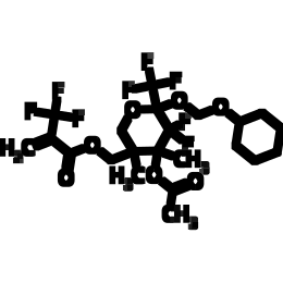 C=C(C(=O)OCC1(C)COC(OCOC2CCCCC2)(C(F)(F)F)C(F)(F)C1(C)OC(C)=O)C(F)(F)F